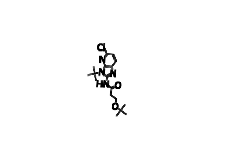 CC(C)(C)OCCC(=O)Nc1nc2ccc(Cl)nc2n1C(C)(C)C